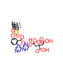 C1=NC=NC1.C1=NC=NC1.O=C(O)CC(O)(CC(=O)O)C(=O)O.O=C([O-])c1ccccc1.O=S([O-])([O-])=S.[Na+].[Na+].[Na+]